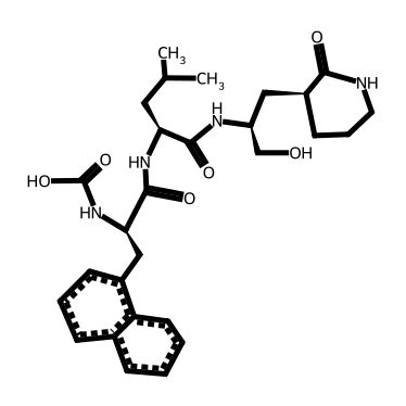 CC(C)C[C@H](NC(=O)[C@@H](Cc1cccc2ccccc12)NC(=O)O)C(=O)N[C@H](CO)C[C@@H]1CCCNC1=O